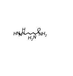 N=NNCCCC[C@H](N)C(N)=O